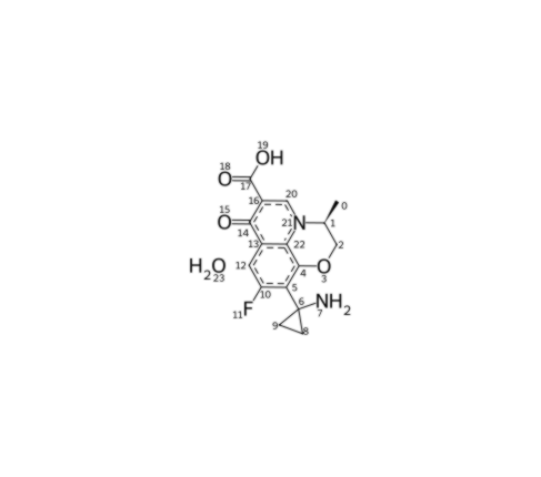 C[C@H]1COc2c(C3(N)CC3)c(F)cc3c(=O)c(C(=O)O)cn1c23.O